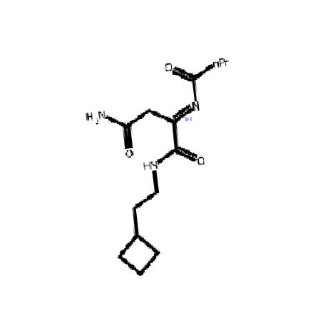 CCCC(=O)/N=C(\CC(N)=O)C(=O)NCCC1CCC1